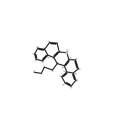 CCCCC1c2c(ccc3ccccc23)Oc2ccc3ccccc3c21